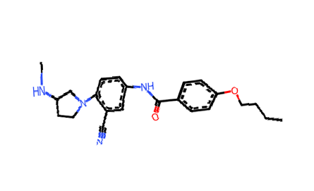 CCCCOc1ccc(C(=O)Nc2ccc(N3CCC(NC)C3)c(C#N)c2)cc1